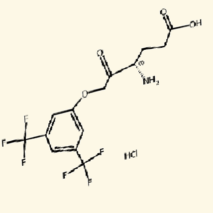 Cl.N[C@@H](CCC(=O)O)C(=O)COc1cc(C(F)(F)F)cc(C(F)(F)F)c1